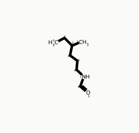 CCC(C)CCCNC=O